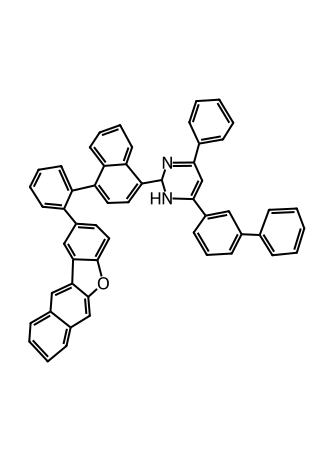 C1=C(c2cccc(-c3ccccc3)c2)NC(c2ccc(-c3ccccc3-c3ccc4oc5cc6ccccc6cc5c4c3)c3ccccc23)N=C1c1ccccc1